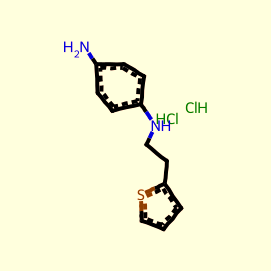 Cl.Cl.Nc1ccc(NCCc2cccs2)cc1